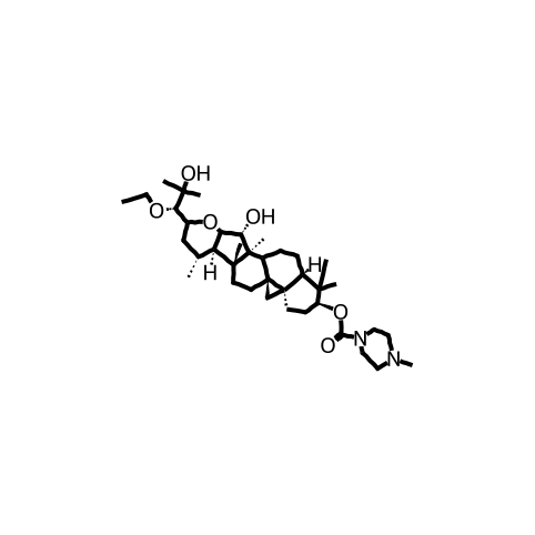 CCO[C@@H](C1C[C@@H](C)[C@H]2C(O1)[C@H](O)[C@@]1(C)C3CC[C@H]4C(C)(C)[C@@H](OC(=O)N5CCN(C)CC5)CC[C@@]45C[C@@]35CC[C@]21C)C(C)(C)O